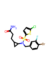 NC(=O)CCC1CC1N(Cc1ccc(Br)c(F)c1)S(=O)(=O)c1ccc(Cl)s1